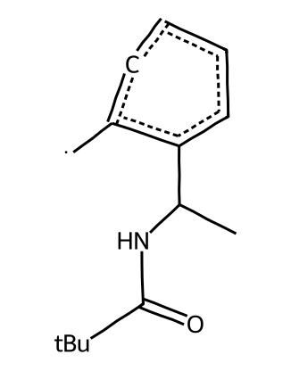 [CH2]c1ccccc1C(C)NC(=O)C(C)(C)C